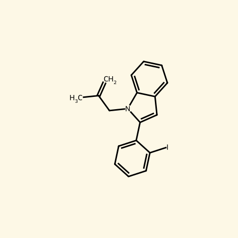 C=C(C)Cn1c(-c2ccccc2I)cc2ccccc21